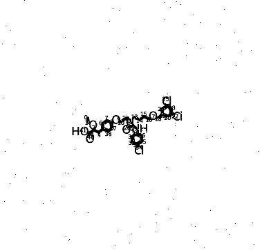 CCOC(Cc1ccc(OCCN(CCCCOCc2cc(Cl)cc(Cl)c2)C(=O)Nc2ccc(Cl)cc2)cc1)C(=O)O